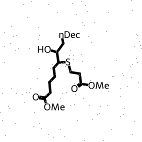 CCCCCCCCCCCC(O)C(CCCCC(=O)OC)SCCC(=O)OC